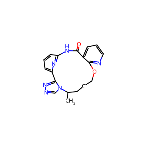 CC1CCCOc2ncccc2C(=O)Nc2cccc(n2)-c2nncn21